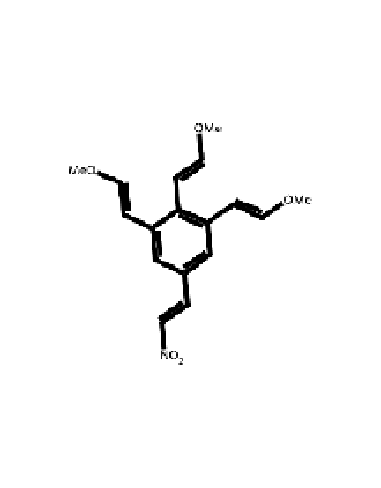 CO/C=C/c1cc(/C=C/[N+](=O)[O-])cc(/C=C/OC)c1/C=C/OC